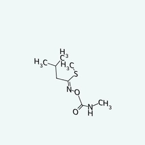 CNC(=O)ON=C(CC(C)C)SC